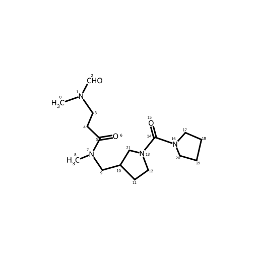 CN(C=O)CCC(=O)N(C)CC1CCN(C(=O)N2CCCC2)C1